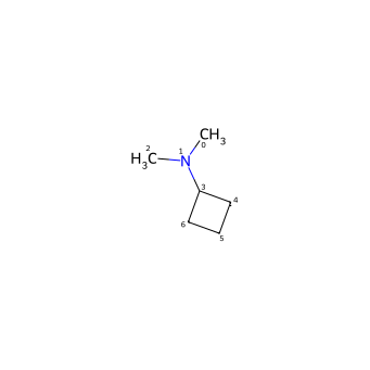 CN(C)C1[CH]CC1